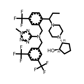 CCC(c1ccc(C(F)(F)F)cc1CN(Cc1cc(C(F)(F)F)cc(C(F)(F)F)c1)c1nnn(C)n1)N1CCN([C@@H]2CCC[C@H]2O)CC1